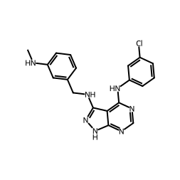 CNc1cccc(CNc2n[nH]c3ncnc(Nc4cccc(Cl)c4)c23)c1